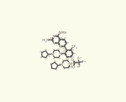 C1CCC(N2CCNCC2)C1.CNc1nc(N)nc2nc(-c3c(N4CCN(C5CCCC5)CC4)cccc3C(F)(F)F)ccc12.O=C(O)C(F)(F)F